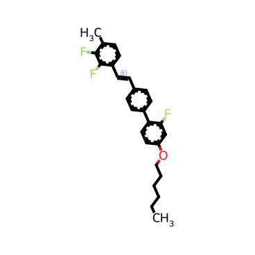 CCCCCCOc1ccc(-c2ccc(/C=C/c3ccc(C)c(F)c3F)cc2)c(F)c1